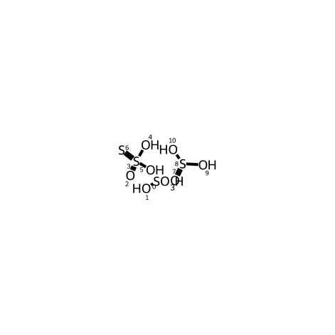 O=S(=O)(O)O.O=S(O)(O)=S.O=S(O)O